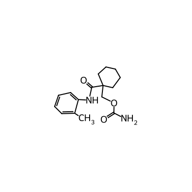 Cc1ccccc1NC(=O)C1(COC(N)=O)CCCCC1